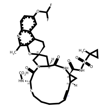 Cc1nc2ccc(OC(F)F)cc2c2c1O[C@]1(CC2)C[C@H]2C(=O)N[C@]3(C(=O)NS(=O)(=O)C4(C)CC4)C[C@H]3/C=C\CCCCC[C@H](NC(=O)O)C(=O)N2C1